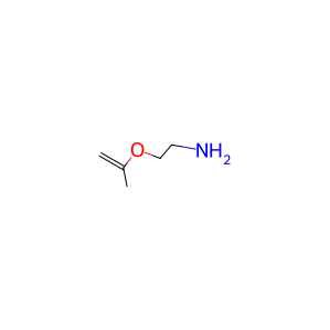 C=C(C)OCCN